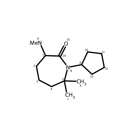 CNC1CCCC(C)(C)N(C2CCCC2)C1=O